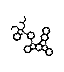 C=C(CC)Cc1c(/C=C\C)c2ccccc2n1-c1cccc(-n2c3ccccc3c3cc4c5ccccc5n5c6cc7ccccc7cc6c(c32)c45)c1